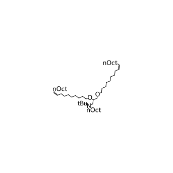 CCCCCCCC/C=C\CCCCCCCCOCC(CN(CCCCCCCC)C(C)(C)C)OCCCCCCCC/C=C\CCCCCCCC